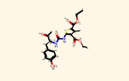 CCOC(=O)c1sc(NC(=O)N[C@@H](Cc2ccc(O)cc2)C(C)=O)c(C(=O)OCC)c1C